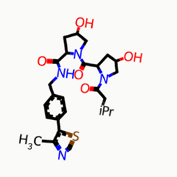 Cc1ncsc1-c1ccc(CNC(=O)C2CC(O)CN2C(=O)C2CC(O)CN2C(=O)CC(C)C)cc1